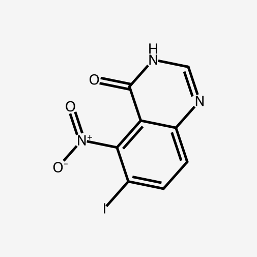 O=c1[nH]cnc2ccc(I)c([N+](=O)[O-])c12